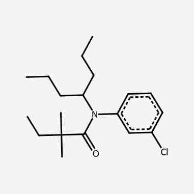 CCCC(CCC)N(C(=O)C(C)(C)CC)c1cccc(Cl)c1